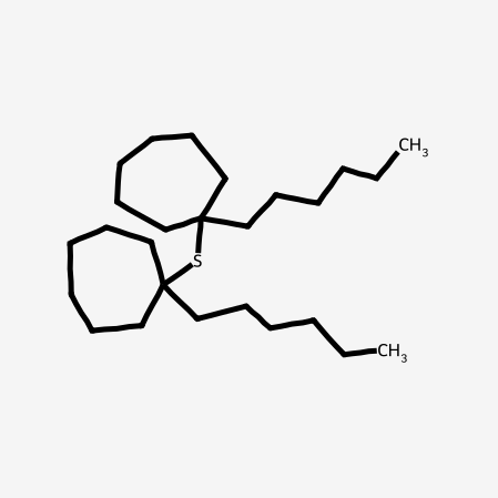 CCCCCCC1(SC2(CCCCCC)CCCCCC2)CCCCCC1